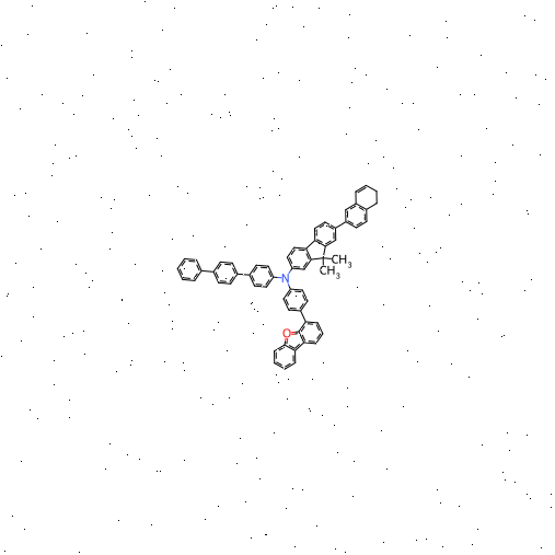 CC1(C)c2cc(-c3ccc4c(c3)C=CCC4)ccc2-c2ccc(N(c3ccc(-c4ccc(-c5ccccc5)cc4)cc3)c3ccc(-c4cccc5c4oc4ccccc45)cc3)cc21